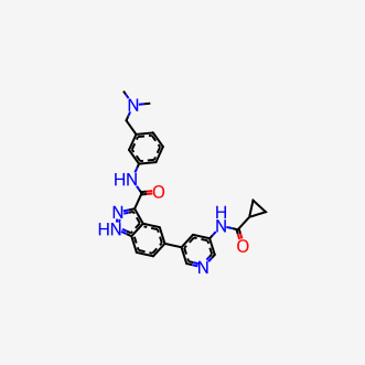 CN(C)Cc1cccc(NC(=O)c2n[nH]c3ccc(-c4cncc(NC(=O)C5CC5)c4)cc23)c1